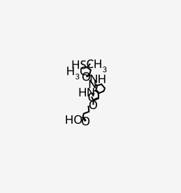 CC(C)(S)CC(=O)NN=C1CCCC2=C1NCC(OCCCC(=O)O)=C2